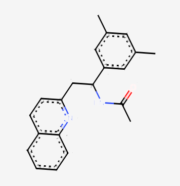 CC(=O)NC(Cc1ccc2ccccc2n1)c1cc(C)cc(C)c1